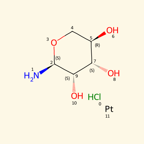 Cl.N[C@H]1OC[C@@H](O)[C@H](O)[C@@H]1O.[Pt]